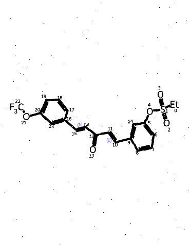 CCS(=O)(=O)Oc1cccc(/C=C/C(=O)/C=C/c2cccc(OC(F)(F)F)c2)c1